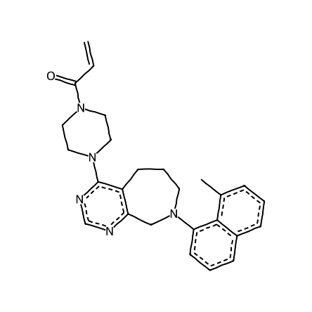 C=CC(=O)N1CCN(c2ncnc3c2CCCN(c2cccc4cccc(C)c24)C3)CC1